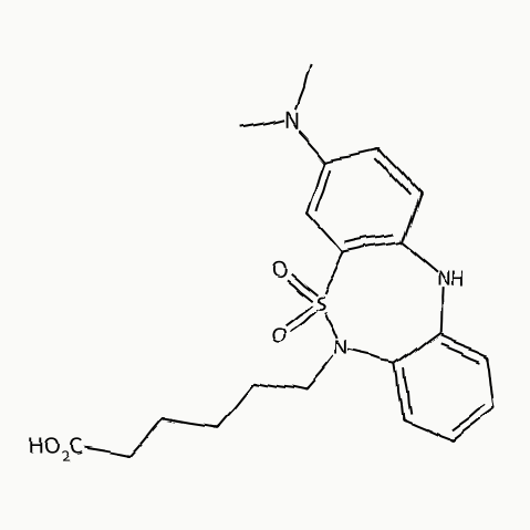 CN(C)c1ccc2c(c1)S(=O)(=O)N(CCCCCC(=O)O)c1ccccc1N2